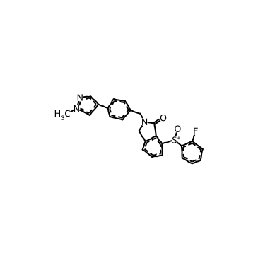 Cn1cc(-c2ccc(CN3Cc4cccc([S+]([O-])c5ccccc5F)c4C3=O)cc2)cn1